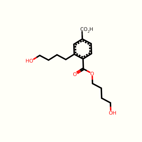 O=C(O)c1ccc(C(=O)OCCCCO)c(CCCCO)c1